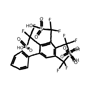 O=S(=O)(O)C(F)(F)c1cc(-c2ccccc2)c(C(F)(F)S(=O)(=O)O)c(C(F)(F)S(=O)(=O)O)c1C(F)(F)S(=O)(=O)O